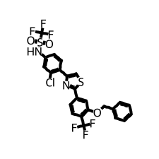 O=S(=O)(Nc1ccc(-c2csc(-c3ccc(C(F)(F)F)c(OCc4ccccc4)c3)n2)c(Cl)c1)C(F)(F)F